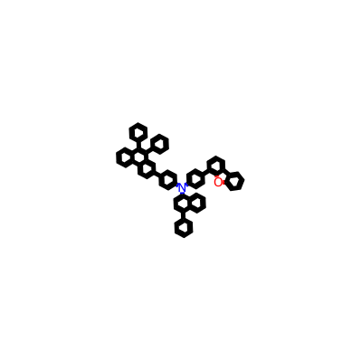 c1ccc(-c2ccc(N(c3ccc(-c4ccc5c(c4)c(-c4ccccc4)c(-c4ccccc4)c4ccccc45)cc3)c3ccc(-c4cccc5c4oc4ccccc45)cc3)c3ccccc23)cc1